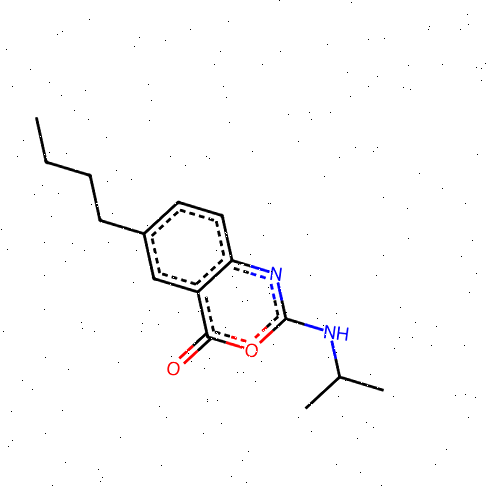 CCCCc1ccc2nc(NC(C)C)oc(=O)c2c1